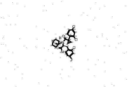 NC(=O)[C@H](Cc1ccc(F)cc1Cl)N(C(=O)C1(c2ccc(Cl)cc2Cl)CC1)[C@@H]1CN2CCC1CC2